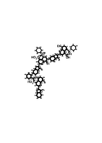 CCc1ccc([S+]([O-])C2CCCCC2)c2c(C(O)O)cc(-c3sc4cc(-c5cc(S(=O)(=O)C6CCCCC6)c6c(C(=O)O)cc(-c7sc8cc(-c9ccccc9[C@H](C)Oc9ccc(C)c%10nc(-c%11sc%12ccccc%12c%11C)cc(C(=O)O)c9%10)ccc8c7C)nc6c5CC)ccc4c3C)nc12